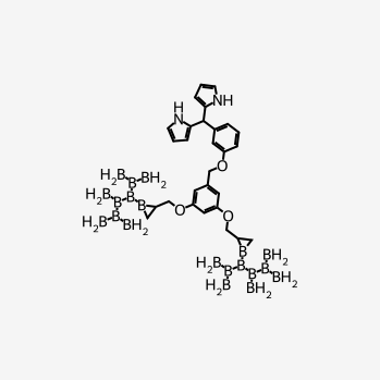 BB(B)B(B)B(B(B)B)B1CC1COc1cc(COc2cccc(C(c3ccc[nH]3)c3ccc[nH]3)c2)cc(OCC2CB2B(B(B)B)B(B)B(B)B)c1